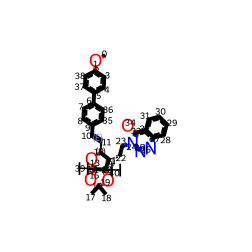 COc1ccc(-c2ccc(/C=C/[C@@H]3O[C@H]4OC(C)(C)O[C@H]4[C@H]3CCn3nnc4ccccc4c3=O)cc2)cc1